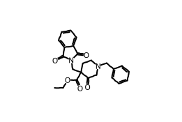 CCOC(=O)C1(CN2C(=O)c3ccccc3C2=O)CCN(Cc2ccccc2)CC1=O